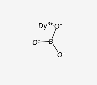 [Dy+3].[O-]B([O-])[O-]